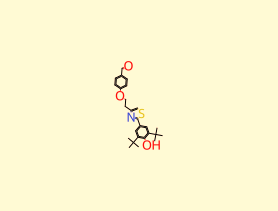 CC(C)(C)c1cc(-c2nc(CCOc3ccc(C=O)cc3)cs2)cc(C(C)(C)C)c1O